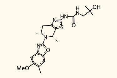 COc1cc2nc(N3[C@H](C)Cc4nc(NC(=O)NCC(C)(C)O)sc4[C@@H]3C)oc2cc1C